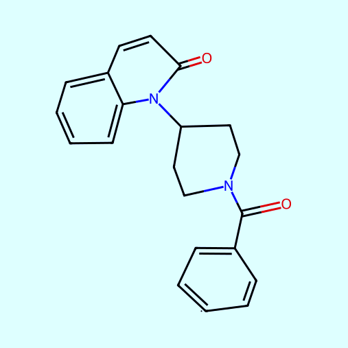 O=C(c1cc[c]cc1)N1CCC(n2c(=O)ccc3ccccc32)CC1